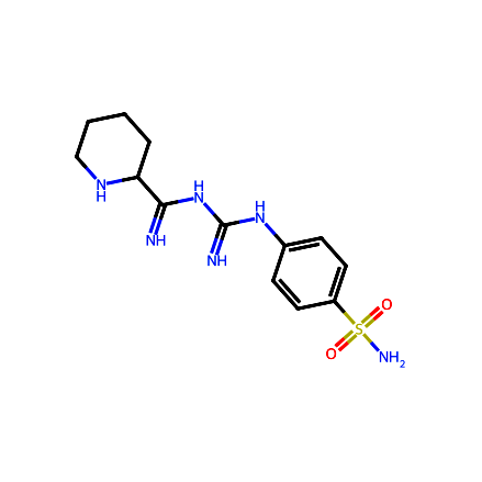 N=C(NC(=N)C1CCCCN1)Nc1ccc(S(N)(=O)=O)cc1